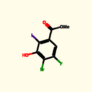 COC(=O)c1cc(F)c(Br)c(O)c1I